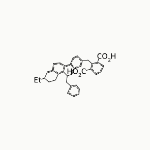 CCC1C=c2ccc3c(c2CC1)C(Cc1ccccc1)C=c1cc(Cc2c(C(=O)O)cccc2C(=O)O)ccc1=3